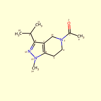 CC(=O)N1CCc2c(c(C(C)C)nn2C)C1